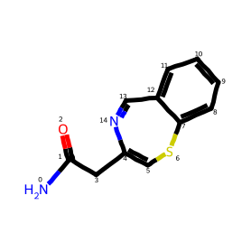 NC(=O)CC1=CSc2ccccc2C=N1